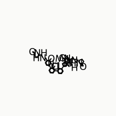 COc1nc(-c2cccc(-c3cccc(-c4cc5c(=O)n(C)c(CNC[C@@H]6CCC(=O)N6)nn5c4)c3Cl)c2Cl)ccc1CNC[C@H]1CCC(=O)N1